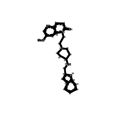 COc1cnc2ccc(=O)n(CCN3CCC(NCc4cc5ccccc5o4)CC3)c2c1